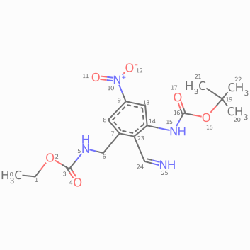 CCOC(=O)NCc1cc([N+](=O)[O-])cc(NC(=O)OC(C)(C)C)c1C=N